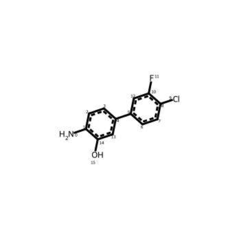 Nc1ccc(-c2ccc(Cl)c(F)c2)cc1O